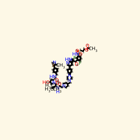 CC(=O)OCCCS(=O)(=O)Nc1ccc(F)c(C(=O)c2c[nH]c3ncc(-c4ccc(N5CCN(CC6CCN(CC(=O)N[C@H](C(=O)N7C[C@H](O)C[C@H]7C(=O)NCc7ccc(-c8scnc8C)cc7)C(C)(C)C)CC6)CC5)cc4)cc23)c1F